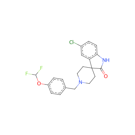 O=C1Nc2ccc(Cl)cc2C12CCN(Cc1ccc(OC(F)F)cc1)CC2